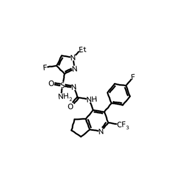 CCn1cc(F)c(S(N)(=O)=NC(=O)Nc2c3c(nc(C(F)(F)F)c2-c2ccc(F)cc2)CCC3)n1